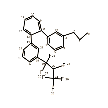 CCCc1cccc(-c2ccccc2-c2cccc(C(F)(F)C(F)C(F)(F)F)c2)c1